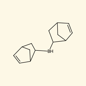 B(C1CC2C=CC1C2)C1CC2C=CC1C2